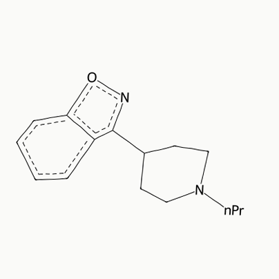 CCCN1CCC(c2noc3ccccc23)CC1